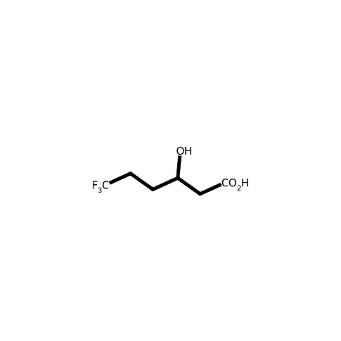 O=C(O)CC(O)CCC(F)(F)F